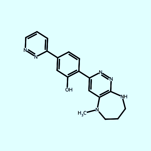 CN1CCCNc2nnc(-c3ccc(-c4cccnn4)cc3O)cc21